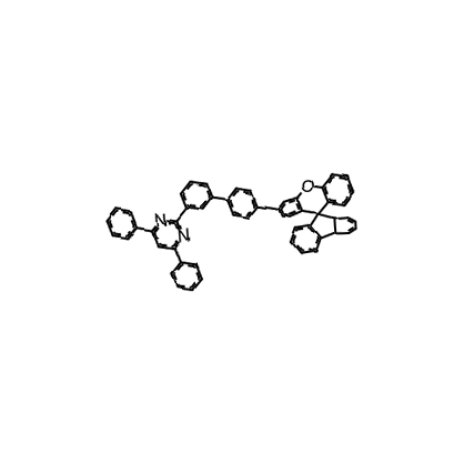 C1=CC2c3ccccc3C3(c4ccccc4Oc4cc(-c5ccc(-c6cccc(-c7nc(-c8ccccc8)cc(-c8ccccc8)n7)c6)cc5)ccc43)C2C=C1